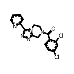 O=C(c1ccc(Cl)cc1Cl)N1CCn2c(nnc2-c2ccccn2)C1